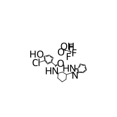 O=C(NC1CCCC(c2nc3ccccc3[nH]2)C1)c1ccc(O)c(Cl)c1.O=C(O)C(F)(F)F